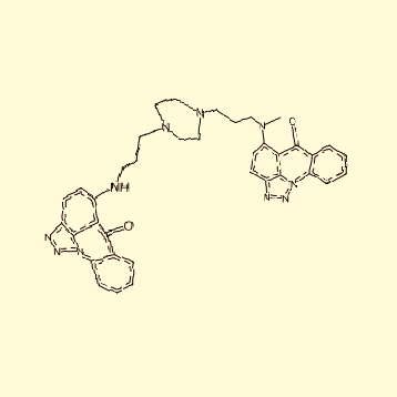 CN(CCCN1CCN(CCCNc2ccc3nnn4c5ccccc5c(=O)c2c34)CC1)c1ccc2nnn3c4ccccc4c(=O)c1c23